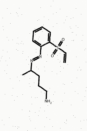 [CH2]C(CCCN)N=Nc1ccccc1S(=O)(=O)C=C